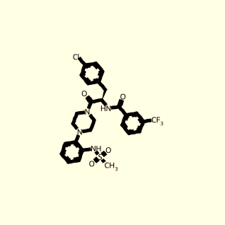 CS(=O)(=O)Nc1ccccc1N1CCN(C(=O)[C@@H](Cc2ccc(Cl)cc2)NC(=O)c2cccc(C(F)(F)F)c2)CC1